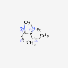 C\C=C/C(=N/C)C(/C=C\C)=N/CC